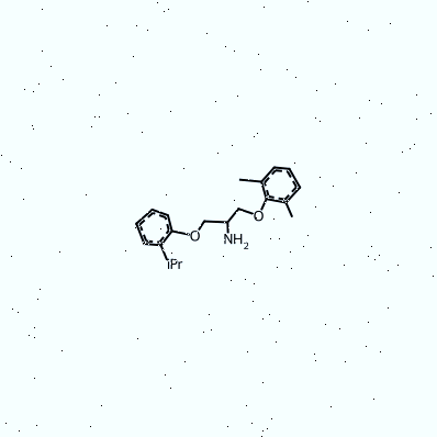 Cc1cccc(C)c1OCC(N)COc1ccccc1C(C)C